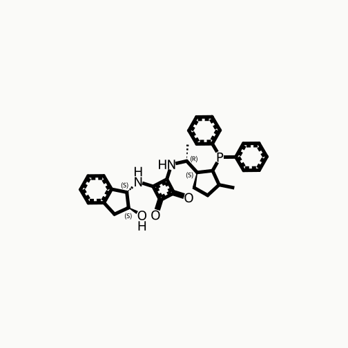 CC1CC[C@@H]([C@@H](C)Nc2c(N[C@H]3c4ccccc4C[C@@H]3O)c(=O)c2=O)C1P(c1ccccc1)c1ccccc1